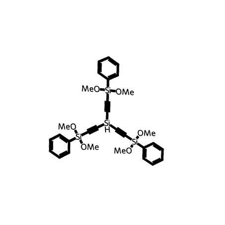 CO[Si](C#C[SiH](C#C[Si](OC)(OC)c1ccccc1)C#C[Si](OC)(OC)c1ccccc1)(OC)c1ccccc1